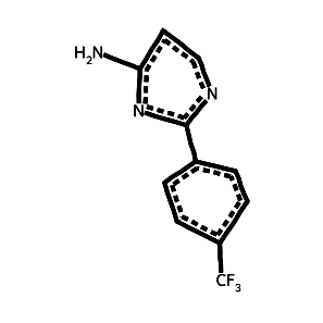 Nc1ccnc(-c2ccc(C(F)(F)F)cc2)n1